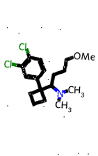 COCCCC(N(C)C)C1(c2ccc(Cl)c(Cl)c2)CCC1